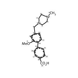 COc1cc(CN2CCN(C)CC2)ccc1-c1ccc(C(=O)O)cc1